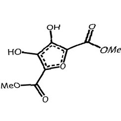 COC(=O)c1oc(C(=O)OC)c(O)c1O